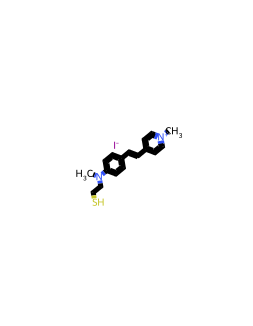 CN(CCS)c1ccc(/C=C/c2cc[n+](C)cc2)cc1.[I-]